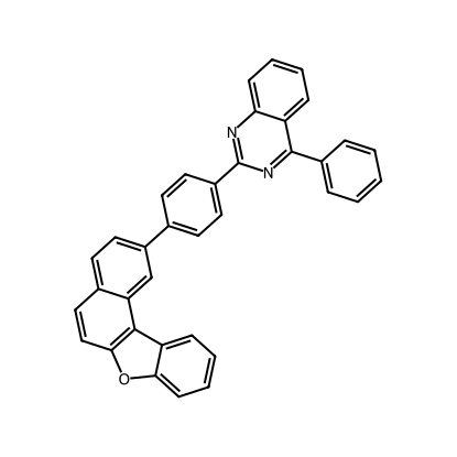 c1ccc(-c2nc(-c3ccc(-c4ccc5ccc6oc7ccccc7c6c5c4)cc3)nc3ccccc23)cc1